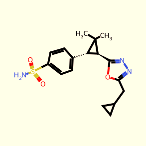 CC1(C)[C@@H](c2ccc(S(N)(=O)=O)cc2)[C@@H]1c1nnc(CC2CC2)o1